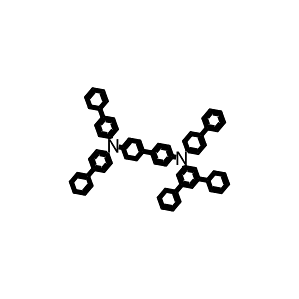 C1=CCCC(c2cc(C3C=CC=CC3)cc(N(C3=CC=C(c4ccccc4)CC3)c3ccc(C4=CC=C(N(c5ccc(C6=CCCC=C6)cc5)c5ccc(C6C=CC=CC6)cc5)CC4)cc3)c2)=C1